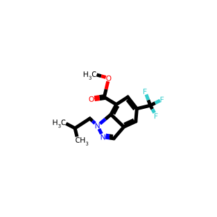 COC(=O)c1cc(C(F)(F)F)cc2cnn(CC(C)C)c12